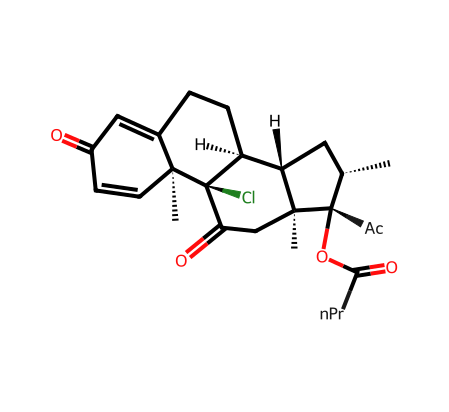 CCCC(=O)O[C@@]1(C(C)=O)[C@@H](C)C[C@H]2[C@@H]3CCC4=CC(=O)C=C[C@]4(C)[C@@]3(Cl)C(=O)C[C@@]21C